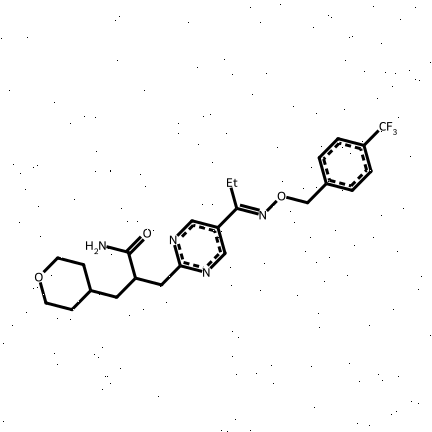 CC/C(=N\OCc1ccc(C(F)(F)F)cc1)c1cnc(CC(CC2CCOCC2)C(N)=O)nc1